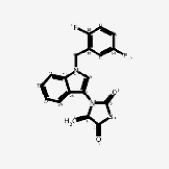 C=C1C(=O)SC(=O)N1c1cn(Cc2cc(F)ccc2F)c2ccccc12